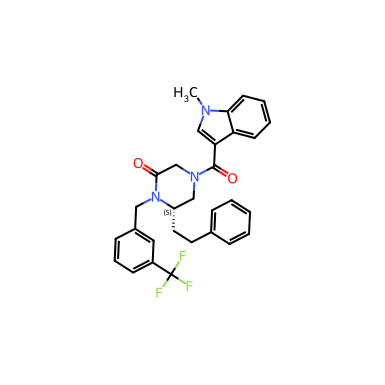 Cn1cc(C(=O)N2CC(=O)N(Cc3cccc(C(F)(F)F)c3)[C@@H](CCc3ccccc3)C2)c2ccccc21